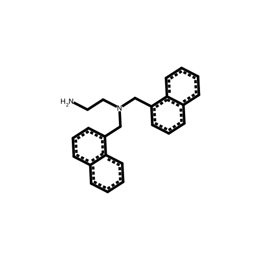 NCCN(Cc1cccc2ccccc12)Cc1cccc2ccccc12